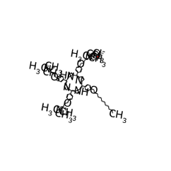 CCCCCCCCCCCOc1ccc(-c2c3nc(c(-c4ccc(OCCC[N+](C)(C)C)cc4)c4ccc([nH]4)c(-c4ccc(OCCC[N+](C)(C)C)cc4)c4nc(c(-c5ccc(OCCC[N+](C)(C)C)cc5)c5ccc2[nH]5)C=C4)C=C3)cc1.[Cl-].[Cl-].[Cl-]